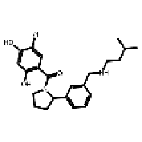 CC(C)CCNCc1cccc(C2CCCN2C(=O)c2cc(Cl)c(O)cc2O)c1